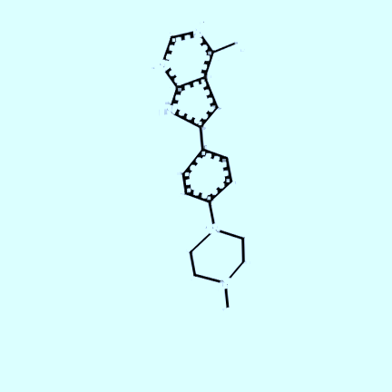 CN1CCN(c2ccc(-c3cc4c(Cl)ncnc4[nH]3)cc2)CC1